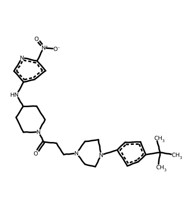 CC(C)(C)c1ccc(N2CCN(CCC(=O)N3CCC(Nc4ccc([N+](=O)[O-])nc4)CC3)CC2)cc1